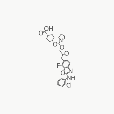 O=C(COC(O[C@H]1CC[C@H](C(=O)O)CC1)N1CCCC1)Cc1ccc2nc(Nc3ccccc3Cl)oc2c1F